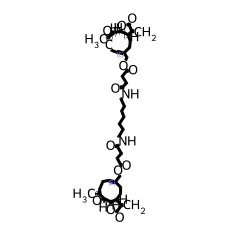 C=C1C(=O)O[C@H]2[C@H]1CC/C(COC(=O)CCC(=O)NCCCCCCCNC(=O)CCC(=O)OC/C1=C/CC[C@@]3(C)O[C@H]3[C@H]3OC(=O)C(=C)[C@@H]3CC1)=C\CC[C@@]1(C)O[C@@H]21